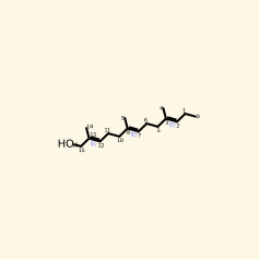 CC/C=C(\C)CC/C=C(\C)CC/C=C(\C)CO